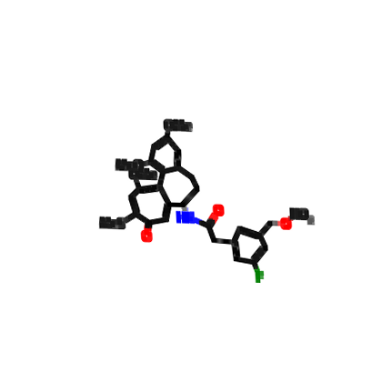 COc1cc2c(c(OC)c1)-c1c(OC)cc(SC)c(=O)cc1[C@@H](NC(=O)Cc1cc(F)cc(CO[N+](=O)[O-])c1)CC2